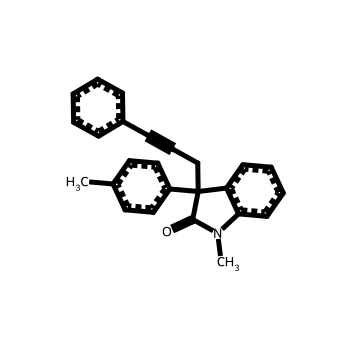 Cc1ccc(C2(CC#Cc3ccccc3)C(=O)N(C)c3ccccc32)cc1